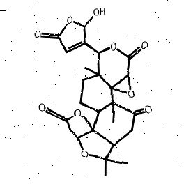 CC1(C)OC2CC(=O)OCC23C1CC(=O)C1(C)C3CCC2(C)C(C3=CC(=O)OC3O)OC(=O)C3OC321